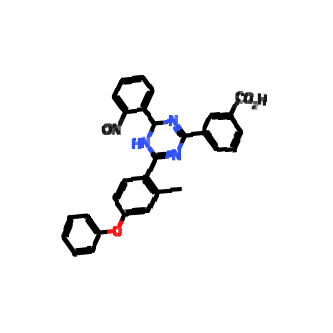 Cc1cc(Oc2ccccc2)ccc1C1=NC(c2cccc(C(=O)O)c2)=NC(c2ccccc2N=O)N1